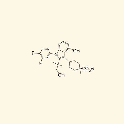 CC(C)(CO)c1c([C@H]2CC[C@](C)(C(=O)O)CC2)c2c(O)cccc2n1-c1ccc(F)c(F)c1